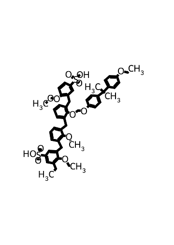 CCOc1ccc(C(C)(C)c2ccc(OCOc3c(Cc4cc(S(=O)(=O)O)ccc4OOC)cccc3Cc3cccc(Cc4cc(S(=O)(=O)O)cc(CC)c4OCC)c3OC)cc2)cc1